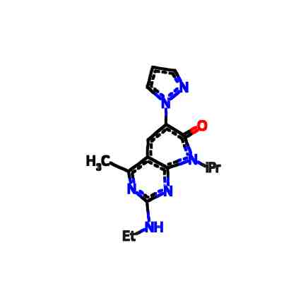 CCNc1nc(C)c2cc(-n3cccn3)c(=O)n(C(C)C)c2n1